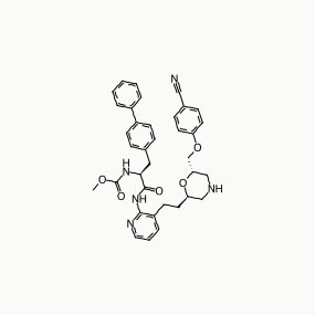 COC(=O)N[C@@H](Cc1ccc(-c2ccccc2)cc1)C(=O)Nc1ncccc1CC[C@@H]1CNC[C@@H](COc2ccc(C#N)cc2)O1